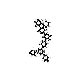 c1ccc(-c2nc(-c3ccccc3)nc(-c3ccc(-c4cccc(-c5ccc6c(c5)C5(CCCCC5)c5ccccc5-6)c4)cc3)n2)cc1